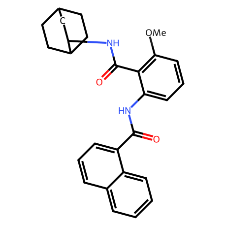 COc1cccc(NC(=O)c2cccc3ccccc23)c1C(=O)NC1CC2CCC1CC2